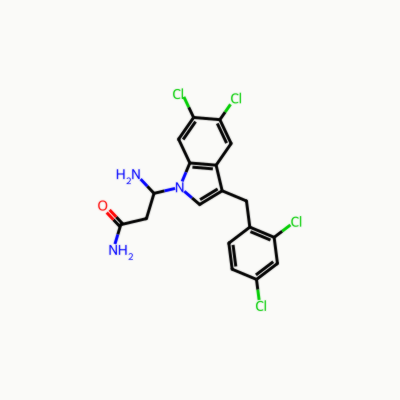 NC(=O)CC(N)n1cc(Cc2ccc(Cl)cc2Cl)c2cc(Cl)c(Cl)cc21